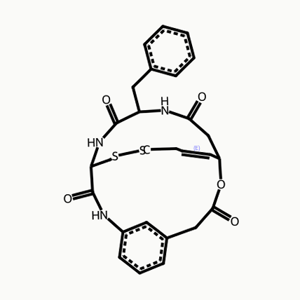 O=C1CC2/C=C/CCSSCC(NC(=O)C(Cc3ccccc3)N1)C(=O)Nc1cccc(c1)CC(=O)O2